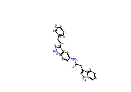 O=C(Cc1c[nH]c2ccccc12)Nc1ccc2[nH]nc(/C=C/c3cccnc3)c2c1